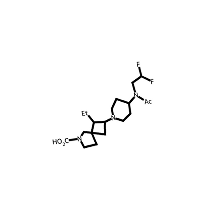 CCC1C(N2CCC(N(CC(F)F)C(C)=O)CC2)CC12CCN(C(=O)O)C2